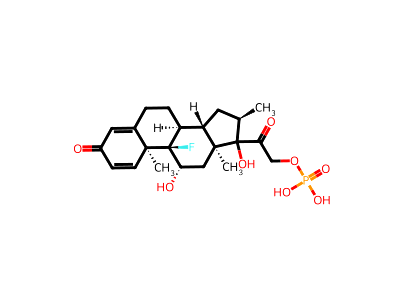 C[C@@H]1C[C@H]2[C@@H]3CCC4=CC(=O)C=C[C@]4(C)[C@@]3(F)[C@@H](O)C[C@]2(C)C1(O)C(=O)COP(=O)(O)O